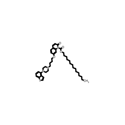 CCCCCCCCCCCCCCCOC(=O)n1c(=O)ccc2ccc(OCCCCN3CCN(c4cccc5sccc45)CC3)cc21